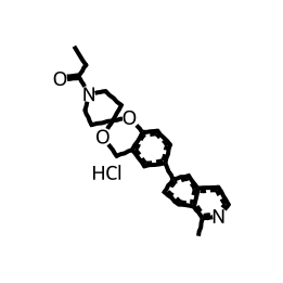 CCC(=O)N1CCC2(CC1)OCc1cc(-c3ccc4c(C)nccc4c3)ccc1O2.Cl